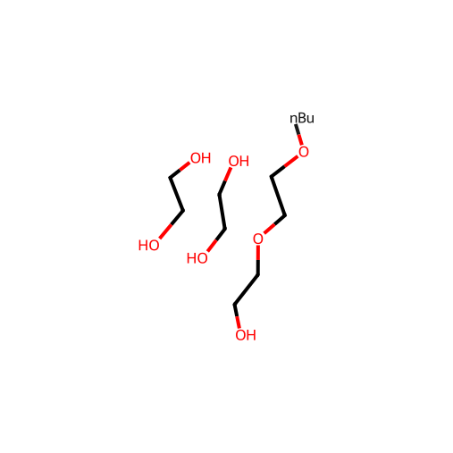 OCCO.OCCO.[CH2]CCCOCCOCCO